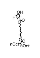 CCCCCCCCC(CCCCCCCC)C(=O)OCCCCCCCOC(=O)[C@@H]1CC(O)CN1